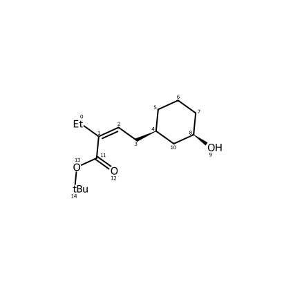 CCC(=CC[C@H]1CCC[C@@H](O)C1)C(=O)OC(C)(C)C